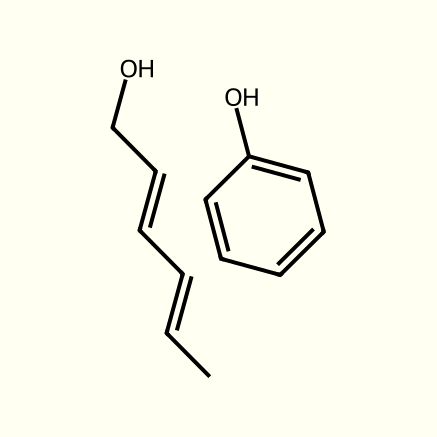 C/C=C/C=C/CO.Oc1ccccc1